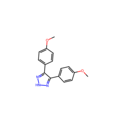 COc1ccc(-c2n[nH]nc2-c2ccc(OC)cc2)cc1